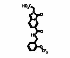 O=C(O)Cn1nc2ccc(C(=O)NCc3ccccc3OC(F)(F)F)cn2c1=O